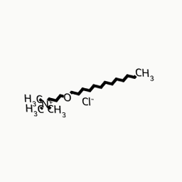 CCCCCCCCCCCCCOCCC[N+](C)(C)C.[Cl-]